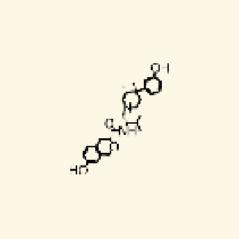 CC(C)[C@@H](CN1CC[C@@](C)(c2cccc(O)c2)[C@@H](C)C1)NC(=O)[C@H]1Cc2ccc(O)cc2CO1